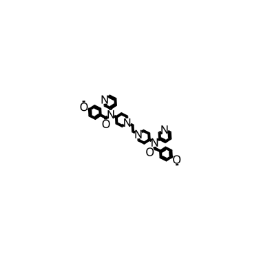 COc1ccc(C(=O)N(c2cccnc2)C2CCN(CCN3CCC(N(C(=O)c4ccc(OC)cc4)c4cccnc4)CC3)CC2)cc1